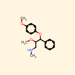 CNCC(OC)C(Oc1ccc(OC)cc1)c1ccccc1